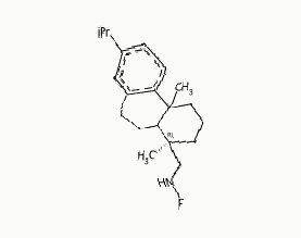 CC(C)c1ccc2c(c1)CCC1C2(C)CCC[C@@]1(C)CNF